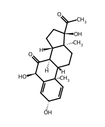 CC(=O)[C@@]1(O)CC[C@H]2[C@@H]3C(=O)[C@H](O)C4=C[C@@H](O)C=C[C@]4(C)[C@H]3CC[C@@]21C